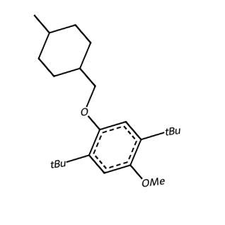 COc1cc(C(C)(C)C)c(OCC2CCC(C)CC2)cc1C(C)(C)C